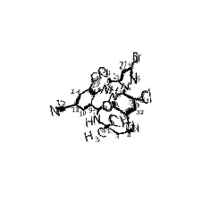 CC(C)(CC#N)NC(=O)c1cc(C#N)cc(Cl)c1NC(=O)c1cc(Br)nn1-c1ncc(Cl)cc1Cl